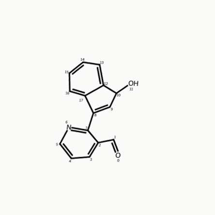 O=Cc1cccnc1C1=CC(O)c2ccccc21